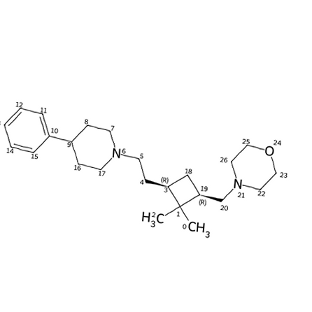 CC1(C)[C@@H](CCN2CCC(c3ccccc3)CC2)C[C@H]1CN1CCOCC1